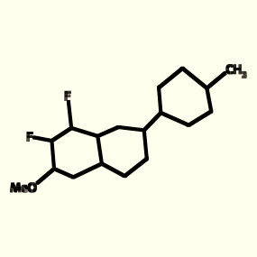 COC1CC2CCC(C3CCC(C)CC3)CC2C(F)C1F